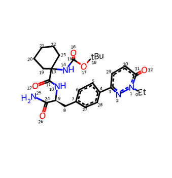 CCn1nc(-c2ccc(C[C@H](NC(=O)C3(NC(=O)OC(C)(C)C)CCCCC3)C(N)=O)cc2)ccc1=O